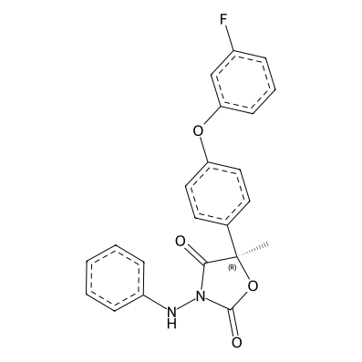 C[C@]1(c2ccc(Oc3cccc(F)c3)cc2)OC(=O)N(Nc2ccccc2)C1=O